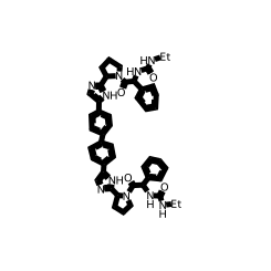 CCNC(=O)NC(C(=O)N1CCCC1c1ncc(-c2ccc(-c3ccc(-c4cnc(C5CCCN5C(=O)C(NC(=O)NCC)c5ccccc5)[nH]4)cc3)cc2)[nH]1)c1ccccc1